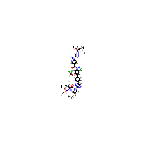 COC(=O)N[C@H](C(=O)N1C[C@@H](SC)C[C@H]1c1nc(-c2ccc(-c3cc(Cl)c(NC(=O)c4ccc(NCCNC(=O)C(C)(C)C)nc4)cc3OC(F)(F)F)cc2)c[nH]1)C(C)C